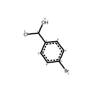 OC(Cl)c1ccc(Br)cc1